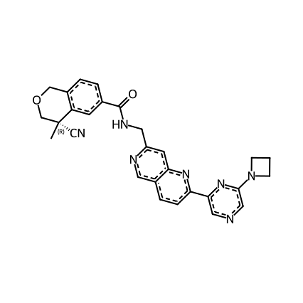 C[C@@]1(C#N)COCc2ccc(C(=O)NCc3cc4nc(-c5cncc(N6CCC6)n5)ccc4cn3)cc21